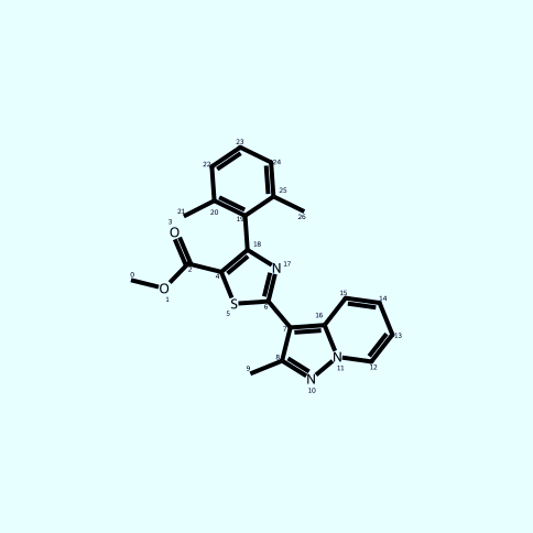 COC(=O)c1sc(-c2c(C)nn3ccccc23)nc1-c1c(C)cccc1C